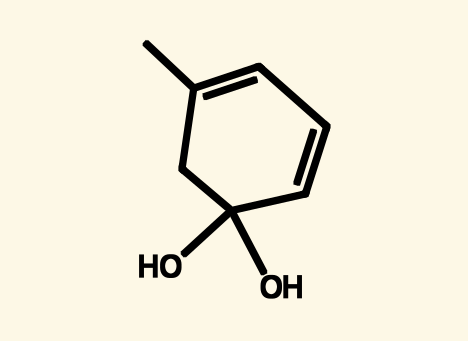 CC1=CC=CC(O)(O)C1